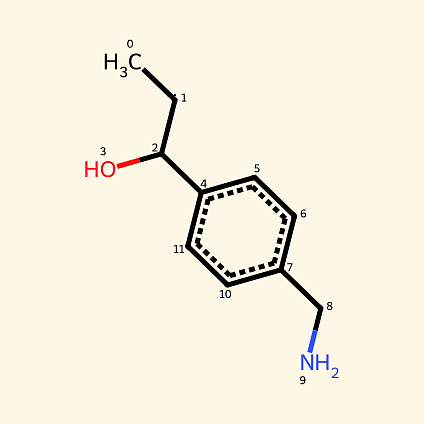 C[CH]C(O)c1ccc(CN)cc1